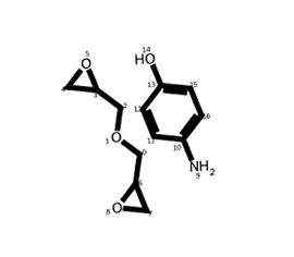 C(OCC1CO1)C1CO1.Nc1ccc(O)cc1